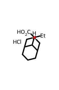 CCC(C(=O)O)C1C2CCCC1CNC2.Cl